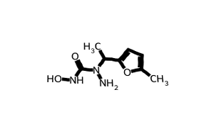 Cc1ccc(C(C)N(N)C(=O)NO)o1